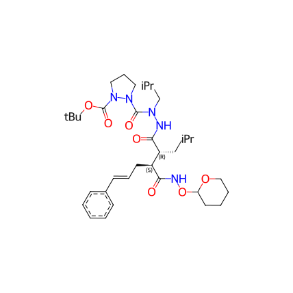 CC(C)C[C@@H](C(=O)NN(CC(C)C)C(=O)N1CCCN1C(=O)OC(C)(C)C)[C@H](CC=Cc1ccccc1)C(=O)NOC1CCCCO1